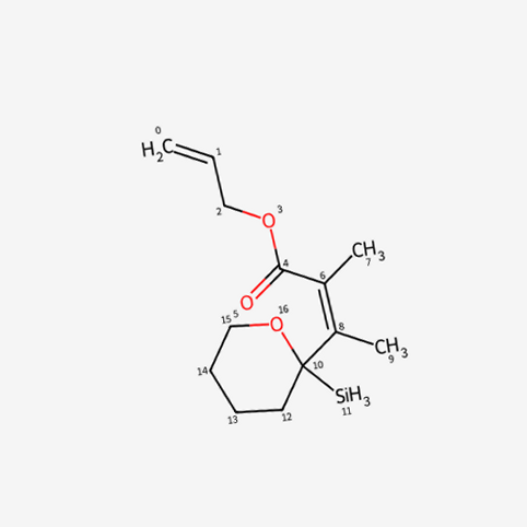 C=CCOC(=O)C(C)=C(C)C1([SiH3])CCCCO1